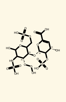 O=C(O)C1=C[C@H](O)C(OS(=O)(=O)O)[C@H](O[C@@H]2C(COS(=O)(=O)O)OC(O)C(NS(=O)(=O)O)[C@H]2OOO)O1